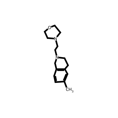 Cc1ccc2c(c1)CCN(CCN1CCOCC1)C2